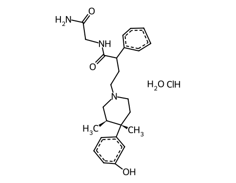 C[C@H]1CN(CCC(C(=O)NCC(N)=O)c2ccccc2)CC[C@]1(C)c1cccc(O)c1.Cl.O